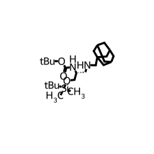 CC(C)(C)OC(=O)N[C@H](CNCC12CC3CC(CC(C3)C1)C2)CO[Si](C)(C)C(C)(C)C